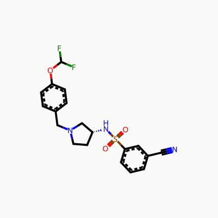 N#Cc1cccc(S(=O)(=O)N[C@@H]2CCN(Cc3ccc(OC(F)F)cc3)C2)c1